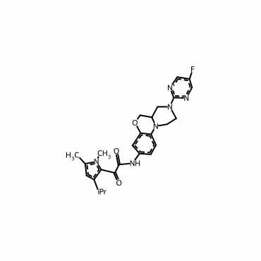 Cc1cc(C(C)C)c(C(=O)C(=O)Nc2ccc3c(c2)OCC2CN(c4ncc(F)cn4)CCN32)n1C